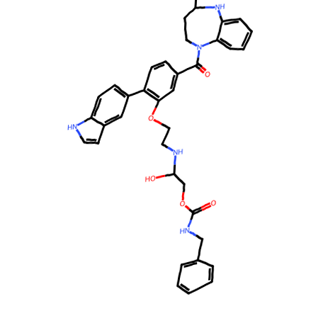 CC1CCN(C(=O)c2ccc(-c3ccc4[nH]ccc4c3)c(OCCNC(O)COC(=O)NCc3ccccc3)c2)c2ccccc2N1